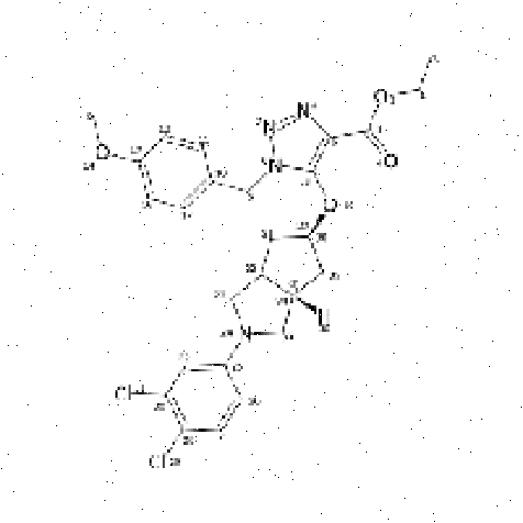 CCOC(=O)c1nnn(Cc2ccc(OC)cc2)c1O[C@@H]1CC2CN(c3ccc(Cl)c(Cl)c3)C[C@H]2C1